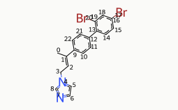 CC(=CCn1ccnc1)c1ccc(-c2ccc(Br)cc2Br)cc1